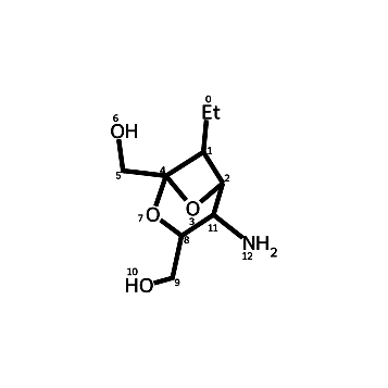 CCC1C2OC1(CO)OC(CO)C2N